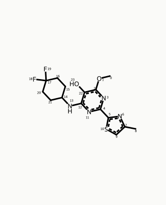 COc1nc(-c2nc(C)cs2)nc(NC2CCC(F)(F)CC2)c1O